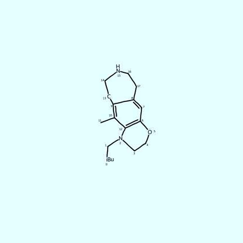 CCC(C)CN1CCOc2cc3c(c(C)c21)CCNCC3